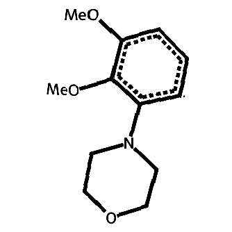 COc1cc[c]c(N2CCOCC2)c1OC